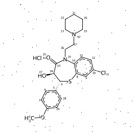 COc1ccc([C@H]2Sc3cc(Cl)ccc3N(CCN3CCCCC3)C(=O)[C@@H]2O)cc1.Cl